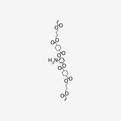 C=CC(=O)OCCCCOC(=O)C1CCC(C(=O)Oc2ccc(OC(=O)C3CCC(C(=O)OCCCCOC(=O)C=C)CC3)c(N)c2)CC1